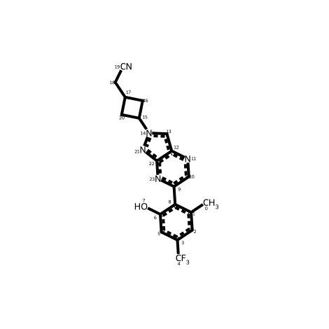 Cc1cc(C(F)(F)F)cc(O)c1-c1cnc2cn(C3CC(CC#N)C3)nc2n1